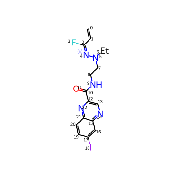 C=C/C(F)=N\N(CC)CCNC(=O)c1cnc2cc(I)ccc2n1